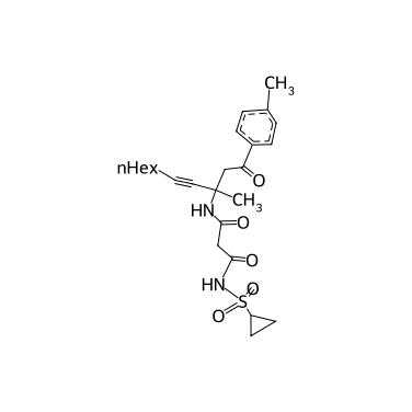 CCCCCCC#CC(C)(CC(=O)c1ccc(C)cc1)NC(=O)CC(=O)NS(=O)(=O)C1CC1